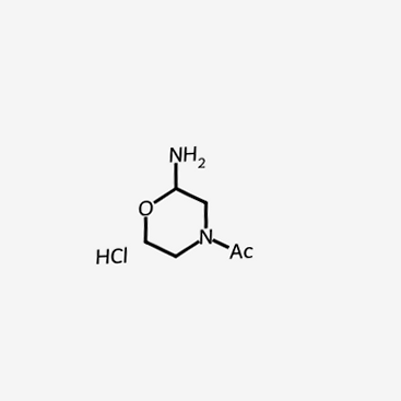 CC(=O)N1CCOC(N)C1.Cl